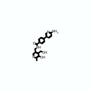 Cc1ncc(CNC(=O)c2ccc(-c3ccc(N)nc3)cc2)c(CO)c1O